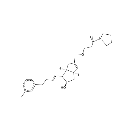 Cc1cccc(CC/C=C/[C@@H]2[C@H]3CC(COCCC(=O)N4CCCC4)=C[C@H]3C[C@H]2O)c1